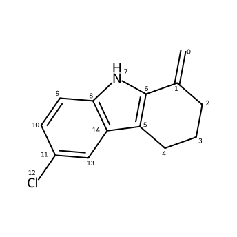 C=C1CCCc2c1[nH]c1ccc(Cl)cc21